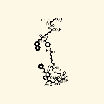 CC[C@H](C)C([C@@H](CC(=O)N1CCC[C@H]1[C@H](OC)[C@@H](C)C(=O)N[C@H](C)Cc1ccccc1)OC)N(C)C(=O)[C@@H](NC(=O)[C@H](C(C)C)N(C)C(=O)OCCSSC[C@H](N)C(=O)NCCCCCC(=O)NC[C@H]1CC[C@H](C(=O)N[C@@H](Cc2ccc3ccccc3c2)C(=O)NCCCC[C@H](NC(=O)N[C@@H](CCC(=O)O)C(=O)O)C(=O)O)CC1)C(C)C